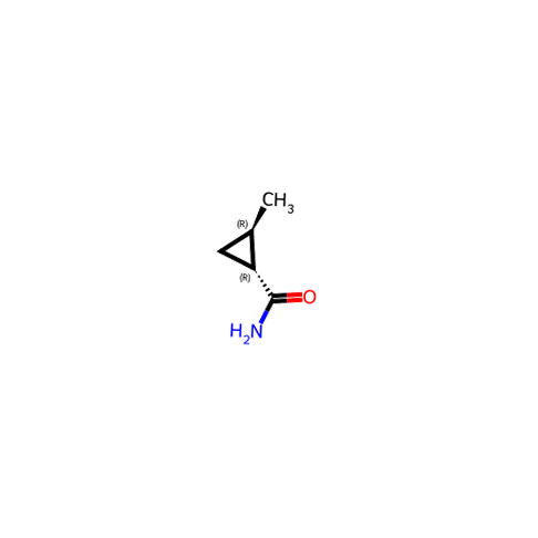 C[C@@H]1C[C@H]1C(N)=O